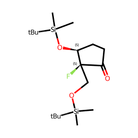 CC(C)(C)[Si](C)(C)OC[C@@]1(F)C(=O)CC[C@@H]1O[Si](C)(C)C(C)(C)C